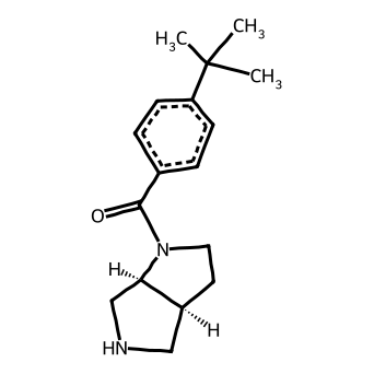 CC(C)(C)c1ccc(C(=O)N2CC[C@H]3CNC[C@H]32)cc1